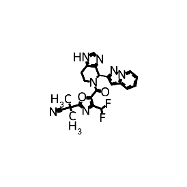 CC(C)(C#N)c1nc(C(F)F)c(C(=O)N2CCc3[nH]cnc3[C@H]2c2cc3ccccn3n2)o1